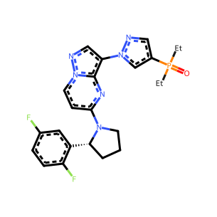 CCP(=O)(CC)c1cnn(-c2cnn3ccc(N4CCC[C@@H]4c4cc(F)ccc4F)nc23)c1